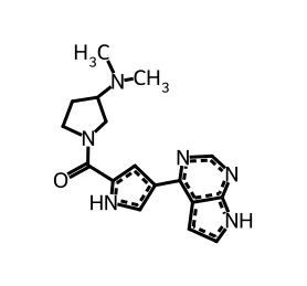 CN(C)C1CCN(C(=O)c2cc(-c3ncnc4[nH]ccc34)c[nH]2)C1